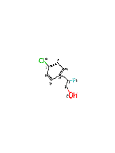 OCC(F)c1ccc(Cl)cc1